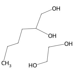 CCCCC(O)CO.OCCO